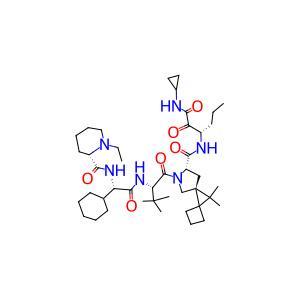 CCC[C@H](NC(=O)[C@@H]1C[C@@]2(CN1C(=O)[C@@H](NC(=O)[C@@H](NC(=O)[C@@H]1CCCCN1CC)C1CCCCC1)C(C)(C)C)C(C)(C)C21CCC1)C(=O)C(=O)NC1CC1